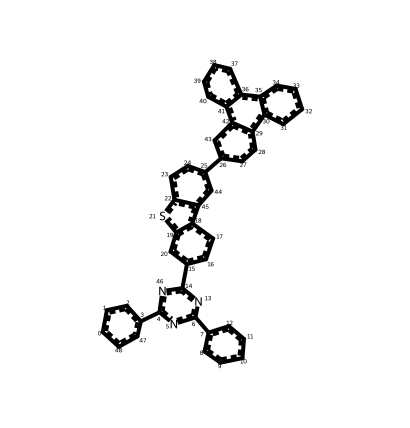 c1ccc(-c2nc(-c3ccccc3)nc(-c3ccc4c(c3)sc3ccc(-c5ccc6c7ccccc7c7ccccc7c6c5)cc34)n2)cc1